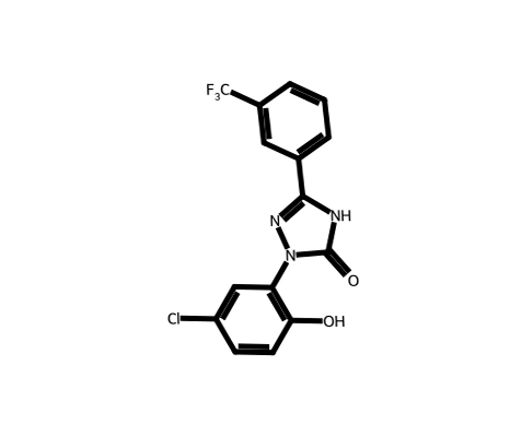 O=c1[nH]c(-c2cccc(C(F)(F)F)c2)nn1-c1cc(Cl)ccc1O